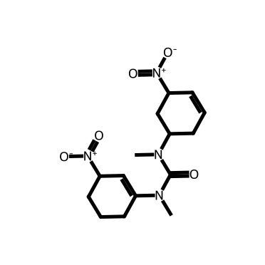 CN(C(=O)N(C)C1CC=CC([N+](=O)[O-])C1)C1=CC([N+](=O)[O-])CCC1